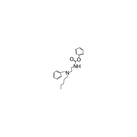 CCCCCN(CCNC(=O)Oc1ccccc1)Cc1ccccc1